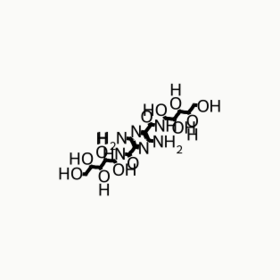 Nc1nc(C(=O)NC(O)C(O)C(O)C(O)CO)c(N)nc1C(=O)NC(O)C(O)C(O)C(O)CO